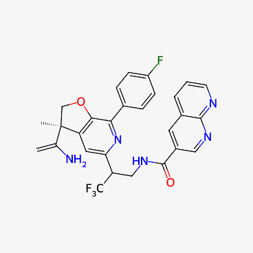 C=C(N)[C@@]1(C)COc2c1cc(C(CNC(=O)c1cnc3ncccc3c1)C(F)(F)F)nc2-c1ccc(F)cc1